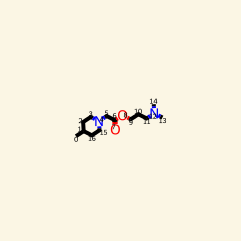 CC1CCN(CC(=O)OCCCN(C)C)CC1